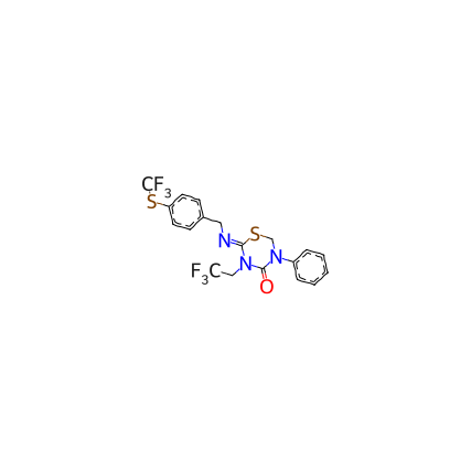 O=C1N(CC(F)(F)F)C(=NCc2ccc(SC(F)(F)F)cc2)SCN1c1ccccc1